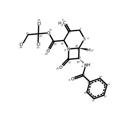 C=C1CS[C@@H]2[C@H](NC(=O)c3ccccc3)C(=O)N2C1C(=O)OC(Cl)(Cl)CCl